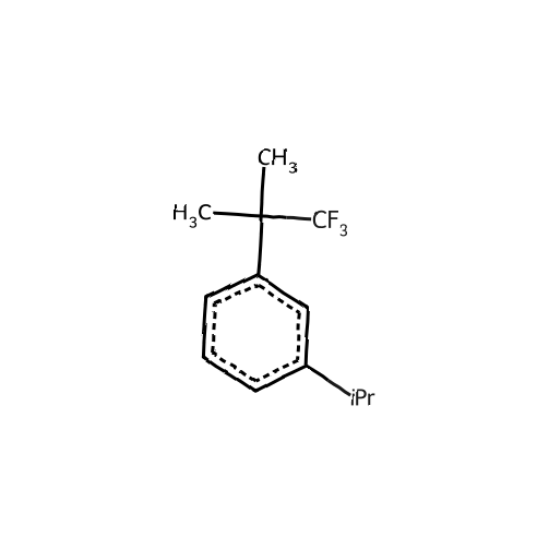 CC(C)c1cccc(C(C)(C)C(F)(F)F)c1